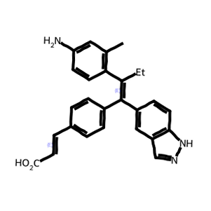 CC/C(=C(/c1ccc(/C=C/C(=O)O)cc1)c1ccc2[nH]ncc2c1)c1ccc(N)cc1C